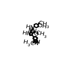 CC[C@]1(O)CC[C@@H](Nc2nc(OC)c3c(-c4ccc5nnn(C)c5c4)c[nH]c3n2)CC1